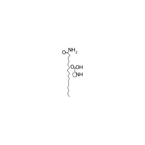 CCCCCCCCCCCCCCCC(N)=O.O=C(O)C1CCCN1